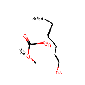 CCCCCCCCCCCCO.COC(=O)O.[Na]